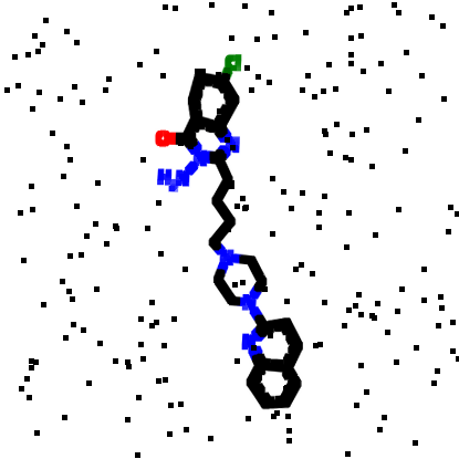 Nn1c(CCCCN2CCN(c3ccc4ccccc4n3)CC2)nc2cc(Cl)ccc2c1=O